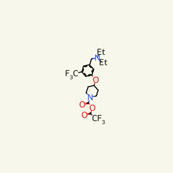 CCN(CC)Cc1cc(OC2CCN(C(=O)OC(=O)C(F)(F)F)CC2)cc(C(F)(F)F)c1